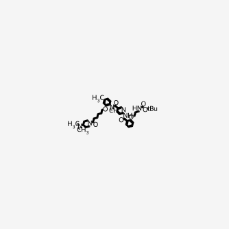 Cc1ccc(N(C)C(=O)c2ccc(NC(=O)c3ccccc3OCCCNC(=O)OC(C)(C)C)nc2)c(OCCCCCC(=O)N2CCC(N(C)C)CC2)c1